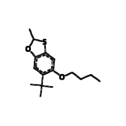 CCCCOc1cc2c(cc1C(C)(C)C)OC(C)S2